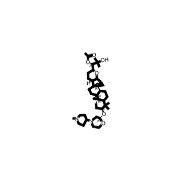 CC(=O)O[C@@H](C1CC[C@H]2C(O1)C1=C[C@@]13C1CCC4C(C)(C)[C@@H](O[C@H]5CN(C6CCN(C)CC6)CCO5)CC[C@@]45C[C@@]15CC[C@]23C)C(C)(C)O